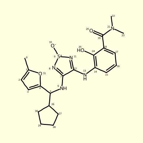 Cc1ccc(C(Nc2n[s+]([O-])nc2Nc2cccc(C(=O)N(C)C)c2O)C2CCCC2)o1